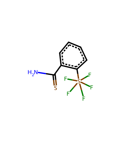 NC(=S)c1ccccc1S(F)(F)(F)(F)F